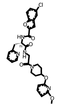 COc1cccc(OC2CCN(C(=O)CNC(=O)[C@H](Cc3ccccn3)NC(=O)c3cc4cc(Cl)ccc4o3)CC2)n1